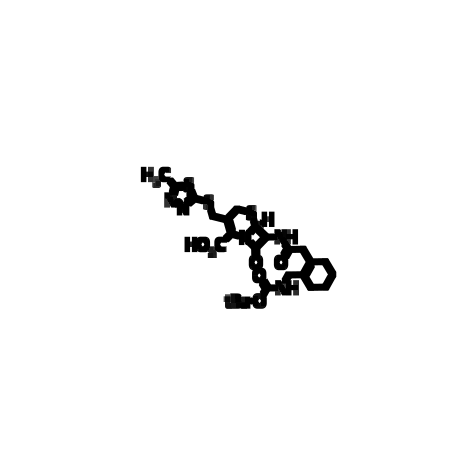 Cc1nnc(SCC2=C(C(=O)O)N3C(=O)C(NC(=O)CC4=C(CNC(=O)OC(C)(C)C)CCCC4)[C@@H]3SC2)s1